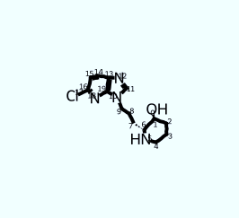 O[C@H]1CCCN[C@@H]1CCCn1cnc2ccc(Cl)nc21